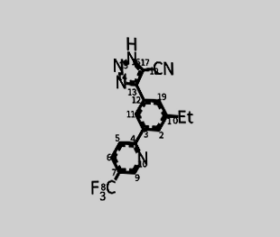 CCc1cc(-c2ccc(C(F)(F)F)cn2)cc(-c2nn[nH]c2C#N)c1